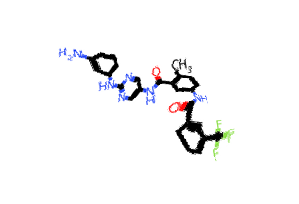 Cc1ccc(NC(=O)c2cccc(C(F)(F)F)c2)cc1C(=O)Nc1cnc(Nc2cccc(N)c2)nc1